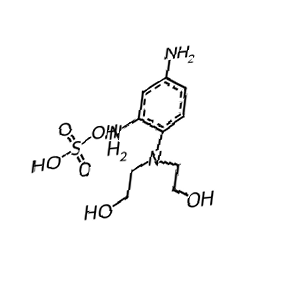 Nc1ccc(N(CCO)CCO)c(N)c1.O=S(=O)(O)O